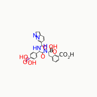 O=C(NC(C(=O)N[C@H]1Cc2cccc(C(=O)O)c2OB1O)c1ccc(P(=O)(O)O)cc1)c1ccc2ccnn2c1